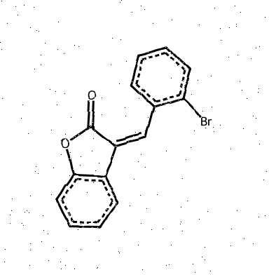 O=C1Oc2ccccc2C1=Cc1ccccc1Br